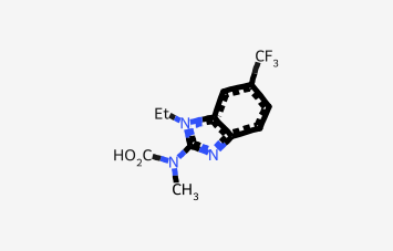 CCn1c(N(C)C(=O)O)nc2ccc(C(F)(F)F)cc21